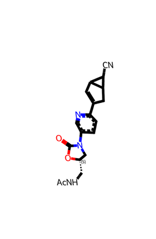 CC(=O)NC[C@H]1CN(c2ccc(C3=CC4C(C#N)C4C3)nc2)C(=O)O1